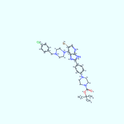 CC(C)(C)OC(=O)N1CCN(c2ccc(-c3nc4c(N5CCN(Cc6ccc(Cl)cc6)CC5)c(Br)cnc4[nH]3)cc2)CC1